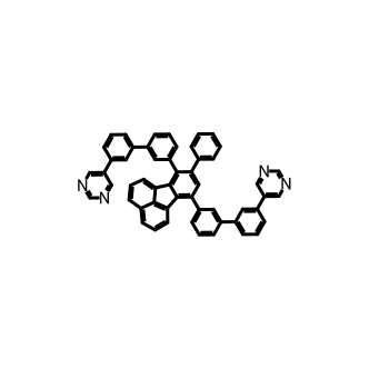 c1ccc(-c2cc(-c3cccc(-c4cccc(-c5cncnc5)c4)c3)c3c(c2-c2cccc(-c4cccc(-c5cncnc5)c4)c2)-c2cccc4cccc-3c24)cc1